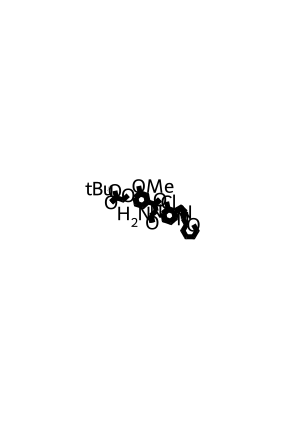 COc1cc(C(=O)N(C(N)=O)c2ccc3c(cnn3C3CCCCO3)c2Cl)ccc1OCC(=O)OC(C)(C)C